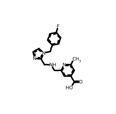 Cc1cc(C(=O)O)cc(CNCc2nccn2Cc2ccc(F)cc2)n1